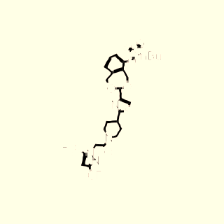 CCCCS(=O)(=O)Oc1cccc2c1COC(c1csc(C3CCN(C(=O)Cn4nc(C(F)(F)F)cc4C(F)(F)F)CC3)n1)OC2